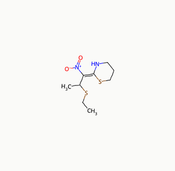 CCSC(C)/C(=C1/NCCCS1)[N+](=O)[O-]